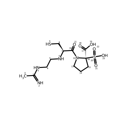 CC(=N)NCCN[C@@H](CS)C(=O)N1CCC[C@]1(C(=O)O)S(=O)(=O)O